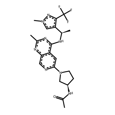 CC(=O)N[C@@H]1CCN(c2cc3c(N[C@H](C)c4cn(C)nc4C(F)(F)F)nc(C)nc3cn2)C1